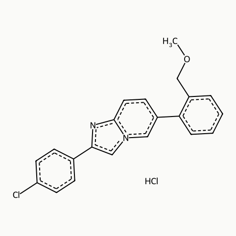 COCc1ccccc1-c1ccc2nc(-c3ccc(Cl)cc3)cn2c1.Cl